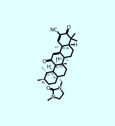 C[C@@H]1[C@H]2[C@H]3C(=O)C=C4[C@@]5(C)C=C(C#N)C(=O)C(C)(C)[C@@H]5CC[C@@]4(C)[C@]3(C)CC[C@@]2(CN2CCN(C)C2=O)CC[C@H]1C